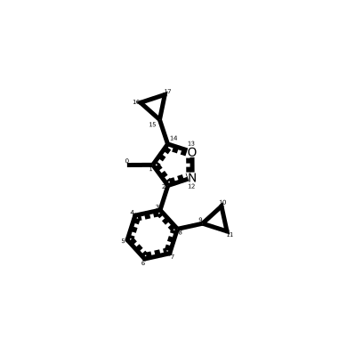 Cc1c(-c2ccccc2C2CC2)noc1C1CC1